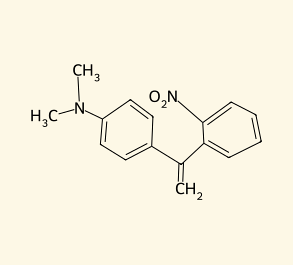 C=C(c1ccc(N(C)C)cc1)c1ccccc1[N+](=O)[O-]